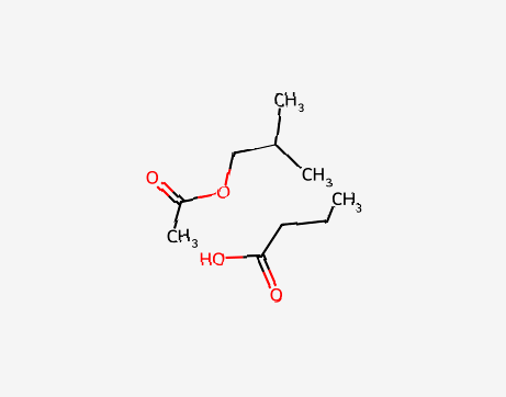 CC(=O)OCC(C)C.CCCC(=O)O